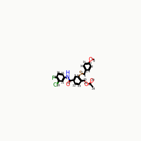 COc1ccc(CSc2cc(C(=O)Nc3ccc(F)c(Cl)c3)ccc2COC(C)=O)cc1